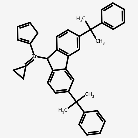 CC(C)(c1ccccc1)c1ccc2c(c1)-c1cc(C(C)(C)c3ccccc3)ccc1[CH]2[Zr]([C]1=CC=CC1)=[C]1CC1